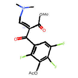 COC(=O)/C(=C\N(C)C)C(=O)c1cc(F)c(F)c(OC(C)=O)c1F